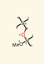 CO[Si](C)(C)OC[Si](C)(C)C